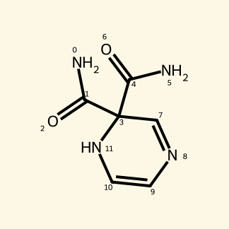 NC(=O)C1(C(N)=O)C=NC=CN1